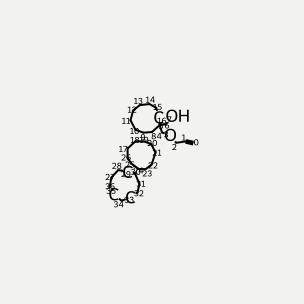 C#CCOCC1(CO)CCCCCCCCC1.C1CCCCCCCCC1.C1CCCCCCCCC1